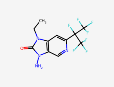 CCn1c(=O)n(N)c2cnc(C(F)(C(F)(F)F)C(F)(F)F)cc21